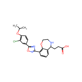 CC(C)Oc1ccc(-c2nc(-c3cccc4c3OCCNC4CCC(=O)O)no2)cc1Cl